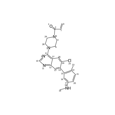 C=CC(=O)N1CCN(c2ncnc3cc(-c4cc(NC)ccc4C)c(Cl)cc23)CC1